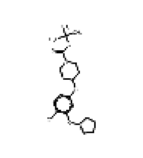 CC(C)(C)OC(=O)N1CCC(Oc2ccc(Cl)c(OC3CCCC3)c2)CC1